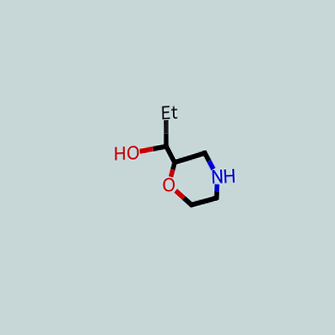 CCC(O)C1CNCCO1